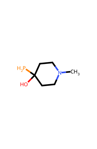 CN1CCC(O)(P)CC1